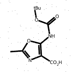 Cc1nc(C(=O)O)c(NC(=O)OC(C)(C)C)o1